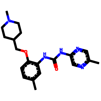 Cc1ccc(OCC2CCN(C)CC2)c(NC(=O)Nc2cnc(C)cn2)c1